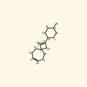 CC1CCC(C2=NC3(CCC=CCC3)C2)CC1